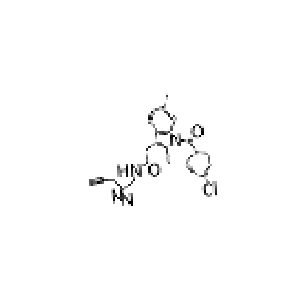 C#CCC1(CNC(=O)Cc2c(C)n(C(=O)c3ccc(Cl)cc3)c3cc(C)ccc23)N=N1